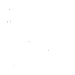 C#CC1CC(COOC(=O)CC)N(c2ccc3ccc(Cl)c(Cl)c3n2)C1